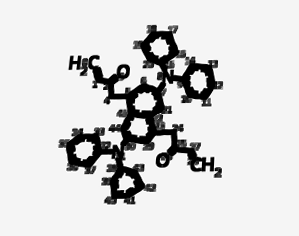 C=CC(=O)Cc1cc(N(c2ccccc2)c2ccccc2)cc2c(CC(=O)C=C)cc(N(c3ccccc3)c3ccccc3)cc12